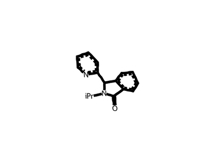 CC(C)N1C(=O)c2ccccc2C1c1ccccn1